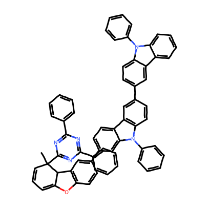 CC1(c2nc(-c3ccccc3)nc(-c3ccccc3)n2)C=CC=C2Oc3ccc(-c4ccc5c6cc(-c7ccc8c(c7)c7ccccc7n8-c7ccccc7)ccc6n(-c6ccccc6)c5c4)cc3C21